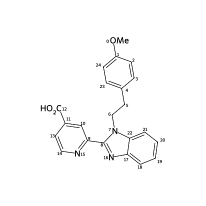 COc1ccc(CCn2c(-c3cc(C(=O)O)ccn3)nc3ccccc32)cc1